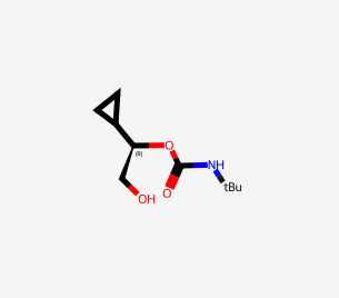 CC(C)(C)NC(=O)O[C@@H](CO)C1CC1